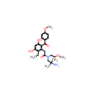 CCc1c(O)cc(O)c(C(=O)c2ccc(OC)cc2)c1CC(=O)N(CCOC)CC(C)(C)N